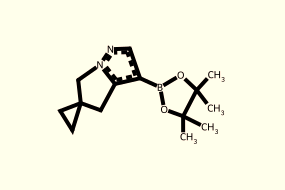 CC1(C)OB(c2cnn3c2CC2(CC2)C3)OC1(C)C